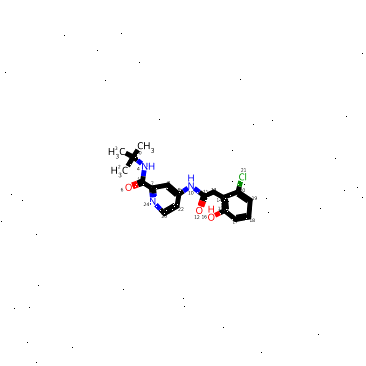 CC(C)(C)NC(=O)c1cc(NC(=O)Cc2c(O)cccc2Cl)ccn1